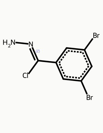 N/N=C(\Cl)c1cc(Br)cc(Br)c1